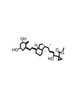 C=C1/C(=C\C=C2/CCC[C@]3(C)[C@@H]([C@H](C)/C=C/[C@H](O)C4(C(=O)OC)CC4)CC[C@@H]23)C[C@@H](O)C[C@@H]1O